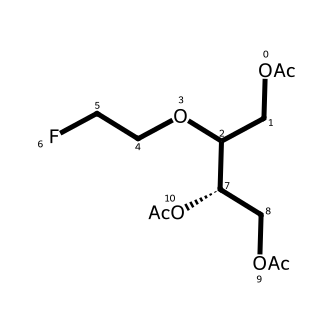 CC(=O)OCC(OCCF)[C@H](COC(C)=O)OC(C)=O